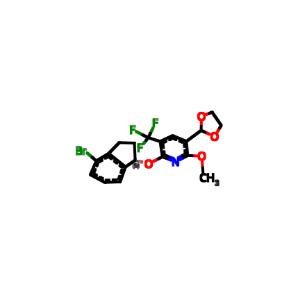 COc1nc(O[C@H]2CCc3c(Br)cccc32)c(C(F)(F)F)cc1C1OCCO1